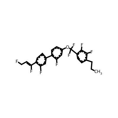 CCCc1ccc(C(F)(F)Oc2ccc(-c3ccc(/C(F)=C/CF)c(F)c3)c(F)c2)c(F)c1F